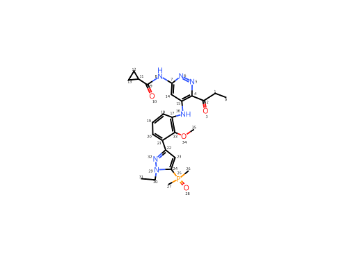 CCC(=O)c1nnc(NC(=O)C2CC2)cc1Nc1cccc(-c2cc(P(C)(C)=O)n(CC)n2)c1OC